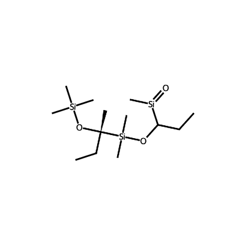 CCC(O[Si](C)(C)[C@](C)(CC)O[Si](C)(C)C)[Si](C)=O